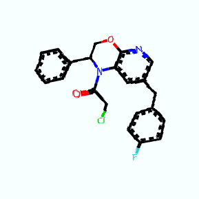 O=C(CCl)N1c2cc(Cc3ccc(F)cc3)cnc2OCC1c1ccccc1